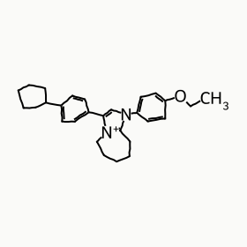 CCOc1ccc(-n2cc(-c3ccc(C4CCCCC4)cc3)[n+]3c2CCCCC3)cc1